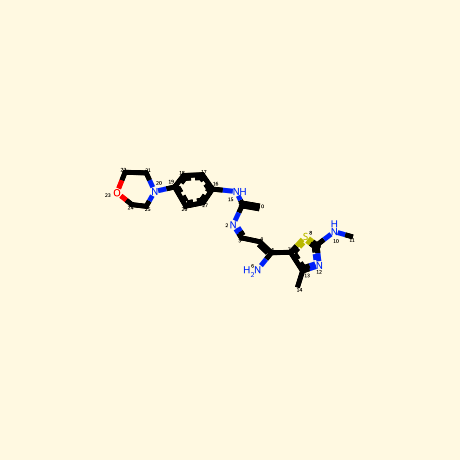 C=C(/N=C\C=C(/N)c1sc(NC)nc1C)Nc1ccc(N2CCOCC2)cc1